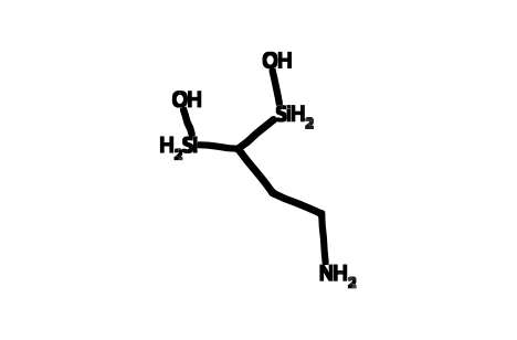 NCCC([SiH2]O)[SiH2]O